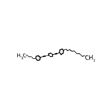 CCCCCCCCCCc1ccc(C#Cc2ccc(C#Cc3ccc(CCCCC)cc3)cc2)cc1